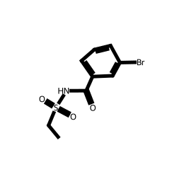 CCS(=O)(=O)NC(=O)c1cccc(Br)c1